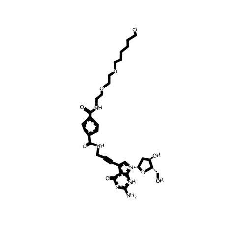 Nc1nc(=O)c2c(C#CCNC(=O)c3ccc(C(=O)NCCOCCOCCCCCCCl)cc3)cn([C@@H]3C[C@@H](O)[C@H](CO)O3)c2[nH]1